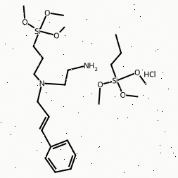 CCC[Si](OC)(OC)OC.CO[Si](CCCN(CC=Cc1ccccc1)CCN)(OC)OC.Cl